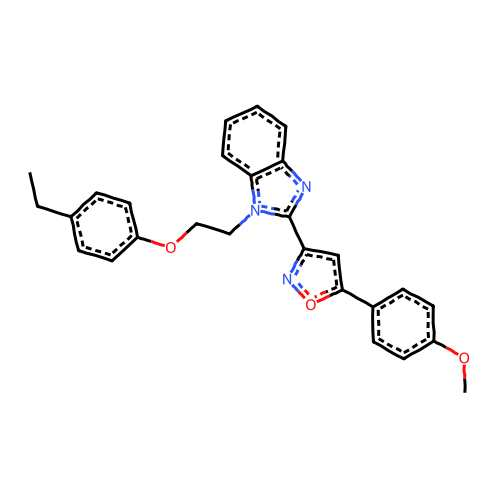 CCc1ccc(OCCn2c(-c3cc(-c4ccc(OC)cc4)on3)nc3ccccc32)cc1